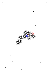 c1cc(-c2ccc(N(c3ccccc3-c3cccc4oc5ccccc5c34)c3cccc4ccccc34)cc2)cc(-c2ccc3ccccc3c2)c1